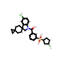 O=C(c1cccc(S(=O)(=O)C2CC[C@@H](F)C2)c1)N1CC2(CCC3(CC3)CC2)c2cc(Br)ccc21